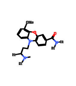 CCC(CCN1c2ccc(C(=O)N(CC)CC)cc2Oc2c(OC)cccc21)N(C)CC